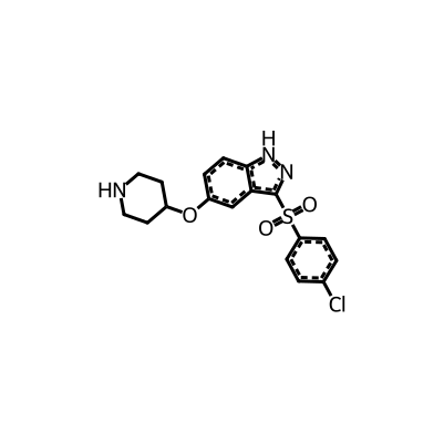 O=S(=O)(c1ccc(Cl)cc1)c1n[nH]c2ccc(OC3CCNCC3)cc12